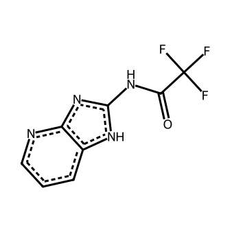 O=C(Nc1nc2ncccc2[nH]1)C(F)(F)F